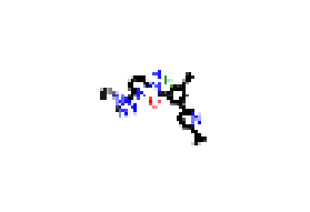 C#Cc1cc(-c2ccc(C3CC3)nc2)cc(C(=O)Nc2cccc(-c3nncn3C(C)C)n2)c1F